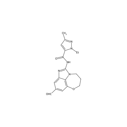 CCn1nc(C)cc1C(=O)Nc1nc2cc(C=O)cc3c2n1CCCO3